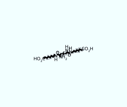 NC(CSSCC(N)C(=O)NCCCCCCCC(=O)O)C(=O)NCCCCCCCC(=O)O